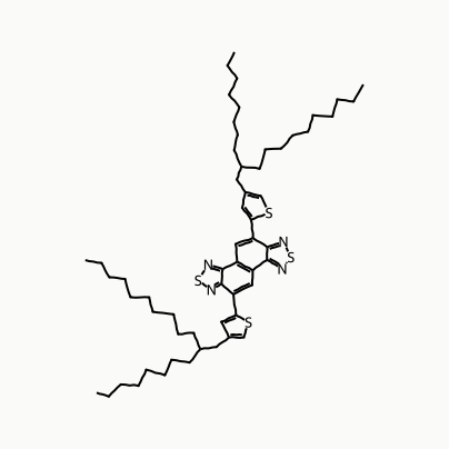 CCCCCCCCCCC(CCCCCCCC)Cc1csc(-c2cc3c(cc(-c4cc(CC(CCCCCCCC)CCCCCCCCCC)cs4)c4nsnc43)c3nsnc23)c1